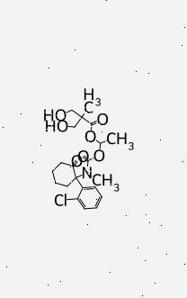 CC(OC(=O)N(C)C1(c2ccccc2Cl)CCCCC1=O)OC(=O)C(C)(CO)CO